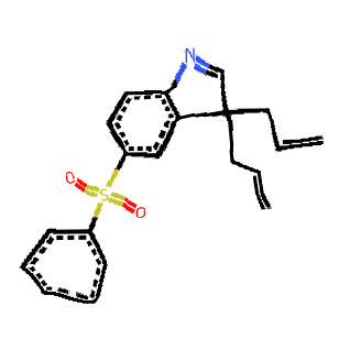 C=CCC1(CC=C)C=Nc2ccc(S(=O)(=O)c3ccccc3)cc21